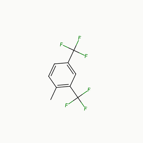 Cc1ccc(C(F)(F)F)cc1C(F)(F)F